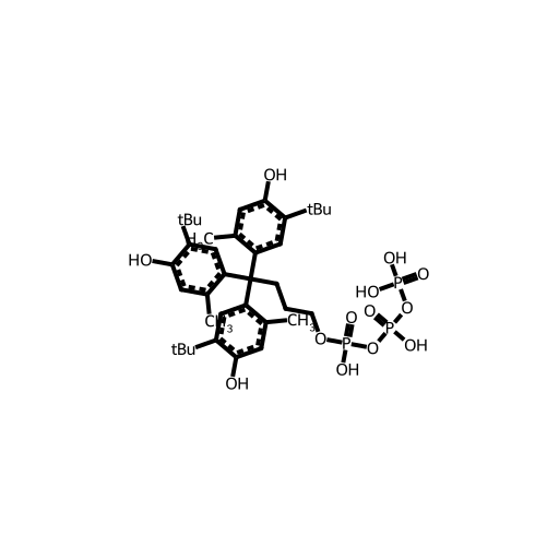 Cc1cc(O)c(C(C)(C)C)cc1C(CCCOP(=O)(O)OP(=O)(O)OP(=O)(O)O)(c1cc(C(C)(C)C)c(O)cc1C)c1cc(C(C)(C)C)c(O)cc1C